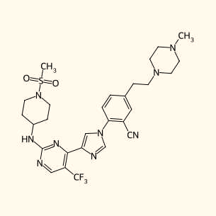 CN1CCN(CCc2ccc(-n3cnc(-c4nc(NC5CCN(S(C)(=O)=O)CC5)ncc4C(F)(F)F)c3)c(C#N)c2)CC1